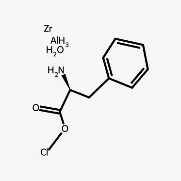 N[C@@H](Cc1ccccc1)C(=O)OCl.O.[AlH3].[Zr]